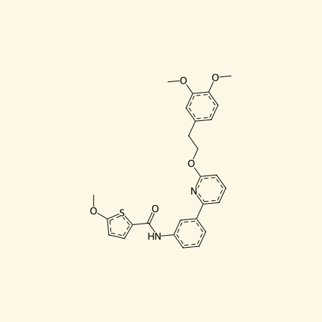 COc1ccc(C(=O)Nc2cccc(-c3cccc(OCCc4ccc(OC)c(OC)c4)n3)c2)s1